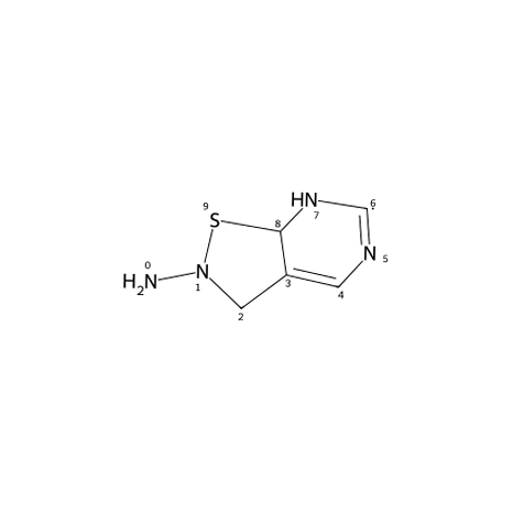 NN1CC2=CN=[C]NC2S1